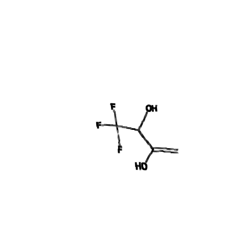 C=C(O)C(O)C(F)(F)F